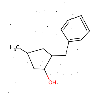 CC1CC(O)C(Cc2ccccc2)C1